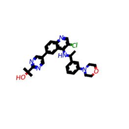 CC(Nc1c(Cl)cnc2ccc(-c3cnc(C(C)(C)O)nc3)cc12)c1cccc(N2CCOCC2)c1